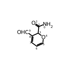 NC(=O)C1OC=CC=C1C=O